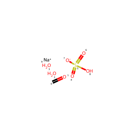 C=O.O.O.O=S(=O)([O-])O.[Na+]